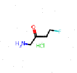 Cl.NCC(=O)CCF